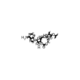 CC(C)OC(=O)C(C)NP1(=O)OCOC(=O)OC2[C@@H](CO1)O[C@@H](n1cnc3c(N)ncnc31)[C@@]2(C)O